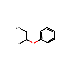 [CH2]C(CC(C)C)Oc1ccccc1